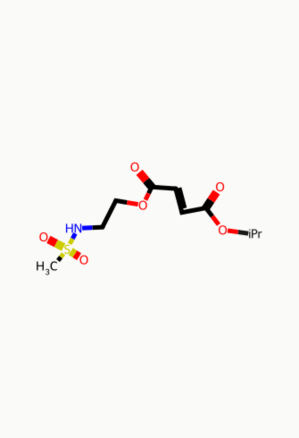 CC(C)OC(=O)C=CC(=O)OCCNS(C)(=O)=O